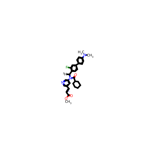 [2H]C(c1ccc(-c2ccc(N(C)C)cc2)cc1F)N(C(=O)C1CCCCC1)c1cncc(/C=C/C(=O)OC)c1